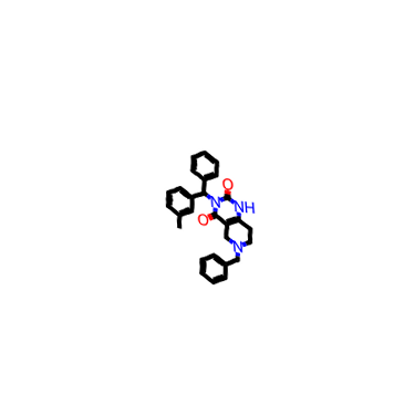 Cc1cccc(C(c2ccccc2)n2c(=O)[nH]c3c(c2=O)CN(Cc2ccccc2)CC3)c1